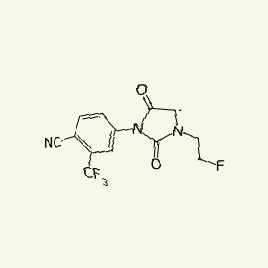 N#Cc1ccc(N2C(=O)[CH]N(CCF)C2=O)cc1C(F)(F)F